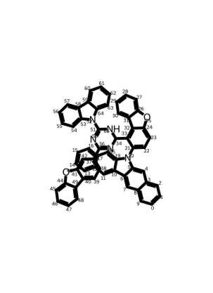 c1ccc2cc3c(cc2c1)c1cc2ccccc2cc1n3-c1ccc2oc3ccccc3c2c1C1N=C(c2ccc3c(c2)oc2ccccc23)N=C(n2c3ccccc3c3ccccc32)N1